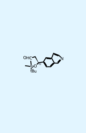 CC(C)(C)[Si](C)(C)O[C@@H](CC=O)c1ccc2cnccc2c1